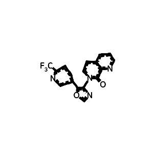 O=c1c2ncccc2ccn1-c1ncoc1-c1ccc(C(F)(F)F)nc1